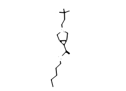 CCCCCNC(=O)C1C2CN(CCC(F)(F)F)CC21